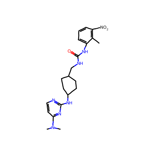 Cc1c(NC(=O)NCC2CCC(Nc3nccc(N(C)C)n3)CC2)cccc1[N+](=O)[O-]